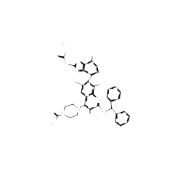 CC(C)(C)OC(=O)Nc1nc2c(-c3c(Cl)cc4c(N5CCN(C(=O)OC(C)(C)C)CC5)c(C#N)c(NC(c5ccccc5)c5ccccc5)nc4c3F)ccc(F)c2s1